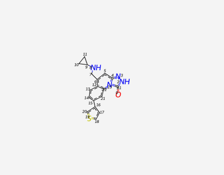 O=c1[nH]nc2cc(CNC3CC3)c3ccc(-c4ccsc4)cc3n12